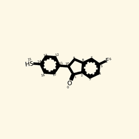 O=C1c2ccc(F)cc2CC1c1ccc(S)cc1